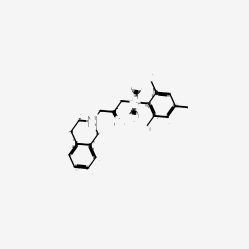 Cc1cc(C)c(S(=O)(=O)CC(=O)CN2CCc3ccccc3C2)c(C)c1